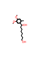 COc1cc(C)c(C(O)CCCCCCCO)cc1OC